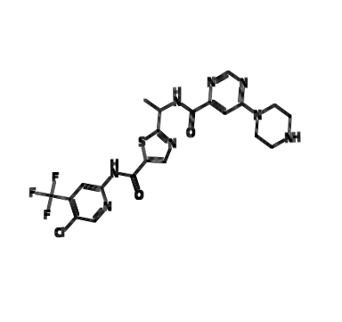 CC(NC(=O)c1cc(N2CCNCC2)ncn1)c1ncc(C(=O)Nc2cc(C(F)(F)F)c(Cl)cn2)s1